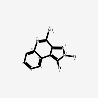 CCc1c2c(nn1CC)c(N)nc1ccccc12